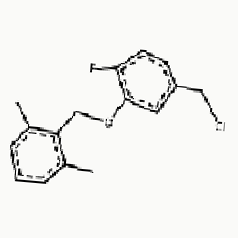 Cc1cccc(C)c1COc1cc(CCl)ccc1F